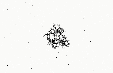 CCNC1CCN(C(=O)C(NC(=O)C(CC=Cc2ccccc2)CC(O[Si](C)(C)C(C)(C)C)C(Cc2ccccc2)NC(=O)OC(C)(C)C)C(C)C)CC1